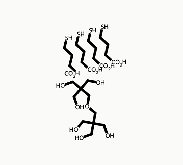 O=C(O)CCCS.O=C(O)CCCS.O=C(O)CCCS.O=C(O)CCCS.OCC(CO)(CO)COCC(CO)(CO)CO